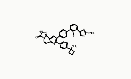 Nc1nc(-c2cccc(-c3ccc(-c4cc5c(ccn6c(=O)[nH]nc56)nc4-c4ccc(C5(N)CCC5)cc4)cc3)c2Cl)cs1